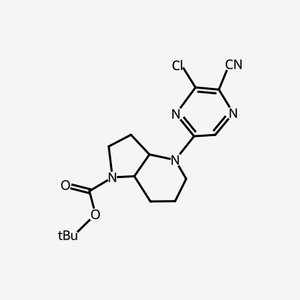 CC(C)(C)OC(=O)N1CCC2C1CCCN2c1cnc(C#N)c(Cl)n1